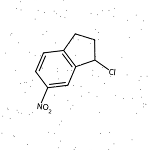 O=[N+]([O-])c1ccc2c(c1)C(Cl)CC2